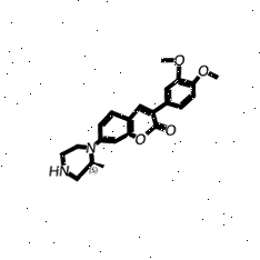 COc1ccc(-c2cc3ccc(N4CCNC[C@@H]4C)cc3oc2=O)cc1OC